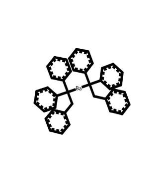 c1ccc(C[C]([Ba][C](Cc2ccccc2)(c2ccccc2)c2ccccc2)(c2ccccc2)c2ccccc2)cc1